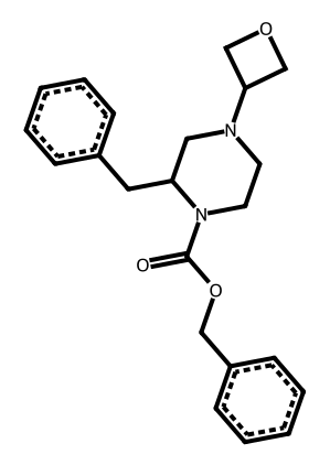 O=C(OCc1ccccc1)N1CCN(C2COC2)CC1Cc1ccccc1